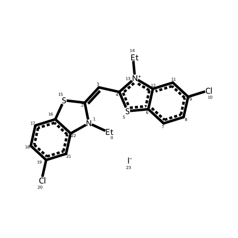 CCN1C(=Cc2sc3ccc(Cl)cc3[n+]2CC)Sc2ccc(Cl)cc21.[I-]